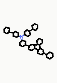 c1ccc(-c2ccc(N(c3ccc(-c4ccccc4)cc3)c3cccc(-c4ccc5c6ccc(-c7ccccc7)cc6c6ccccc6c5c4)c3)cc2)cc1